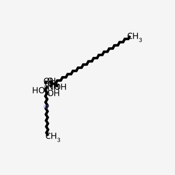 CCCCCCCCC/C=C/CCC[C@@H](O)[C@@H](O)[C@H](CO)NC(=O)C(O)CCCCCCCCCCCCCCCCCCCCCCCCCCCCC